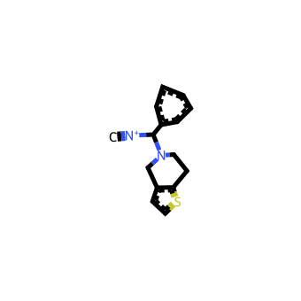 [C-]#[N+]C(c1ccccc1)N1CCc2sccc2C1